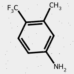 Cc1cc(N)ccc1C(F)(F)F